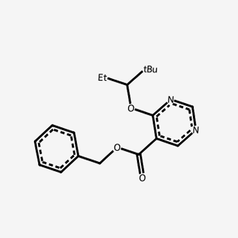 CCC(Oc1ncncc1C(=O)OCc1ccccc1)C(C)(C)C